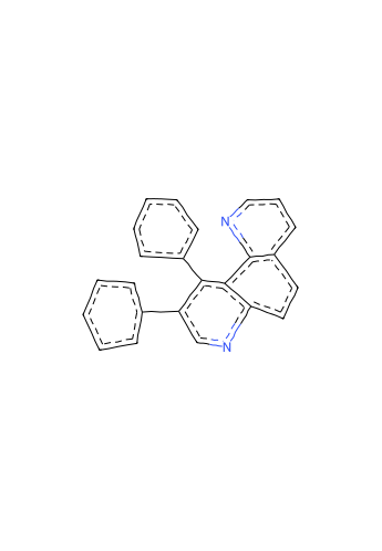 c1ccc(-c2cnc3ccc4cccnc4c3c2-c2ccccc2)cc1